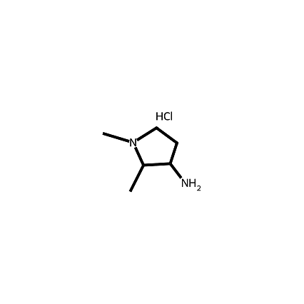 CC1C(N)CCN1C.Cl